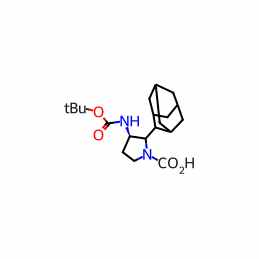 CC(C)(C)OC(=O)N[C@@H]1CCN(C(=O)O)C1C1C2CC3CC(C2)CC1C3